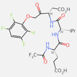 CC(C)[C@H](NC(=O)[C@H](CCC(=O)O)NC(=O)C(F)(F)F)C(=O)N[C@@H](CC(=O)O)C(=O)COc1c(F)c(F)cc(F)c1F